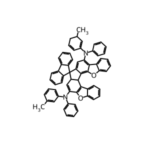 Cc1cccc(N(C2=CC3C(c4c2oc2ccccc42)c2c(cc(N(C4=CC(C)CC=C4)c4ccccc4)c4c2oc2ccccc24)C32c3ccccc3-c3ccccc32)c2ccccc2)c1